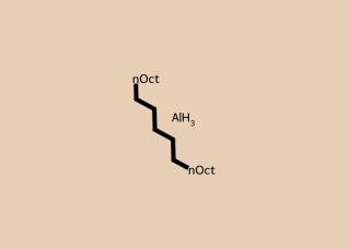 CCCCCCCCCCCCCCCCCCCCC.[AlH3]